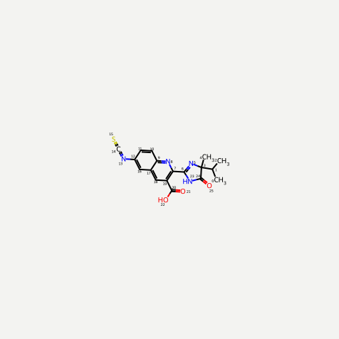 CC(C)C1(C)N=C(c2nc3ccc(N=C=S)cc3cc2C(=O)O)NC1=O